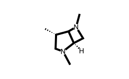 C[C@H]1CN(C)[C@@H]2CN(C)C21